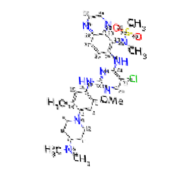 COc1cc(N2CCC(N(C)C)CC2)c(C)cc1Nc1ncc(Cl)c(Nc2ccc3nccnc3c2N(C)S(C)(=O)=O)n1